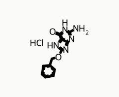 Cl.Nc1nc2nc(OCc3ccccc3)[nH]c2c(=O)[nH]1